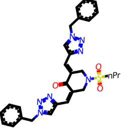 CCCS(=O)(=O)N1CC(=Cc2cn(Cc3ccccc3)nn2)C(=O)C(=Cc2cn(Cc3ccccc3)nn2)C1